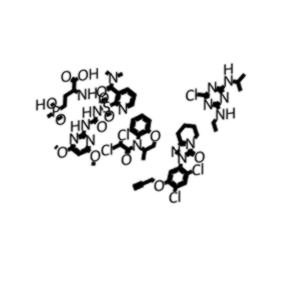 C#CCOc1cc(-n2nc3n(c2=O)CCCC3)c(Cl)cc1Cl.CC1COc2ccccc2N1C(=O)C(Cl)Cl.CCNc1nc(Cl)nc(NC(C)C)n1.COc1cc(OC)nc(NC(=O)NS(=O)(=O)c2ncccc2C(=O)N(C)C)n1.CP(=O)(O)CCC(N)C(=O)O